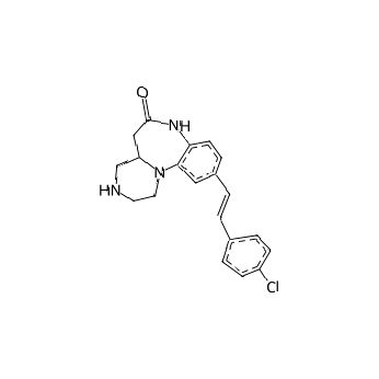 O=C1CC2CNCCN2c2cc(C=Cc3ccc(Cl)cc3)ccc2N1